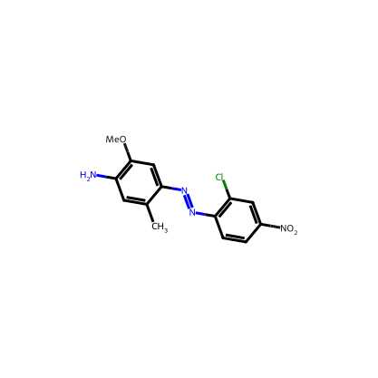 COc1cc(N=Nc2ccc([N+](=O)[O-])cc2Cl)c(C)cc1N